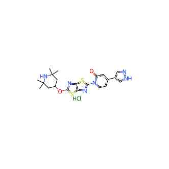 CC1(C)CC(Oc2nc3sc(-n4ccc(-c5cn[nH]c5)cc4=O)nc3s2)CC(C)(C)N1.Cl